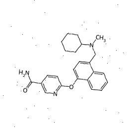 CN(Cc1ccc(Oc2ccc(C(N)=O)cn2)c2ccccc12)C1CCCCC1